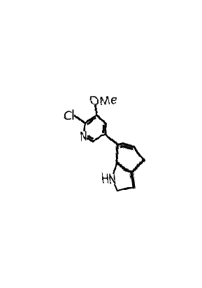 COc1cc(C2=CCC3CCNC23)cnc1Cl